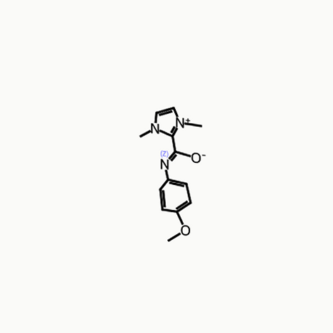 COc1ccc(/N=C(\[O-])c2n(C)cc[n+]2C)cc1